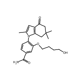 Cc1cc2c(n1-c1ccc(C(N)=O)cc1OCCCCO)CC(C)(C)CC2=O